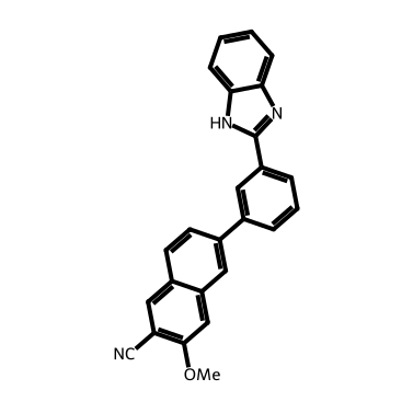 COc1cc2cc(-c3cccc(-c4nc5ccccc5[nH]4)c3)ccc2cc1C#N